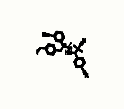 C[C@H](NC(c1ccc(C#N)cc1)C(C)(C)C#N)[C@@H](Cc1ccc(CI)cc1)c1cccc(C#N)c1